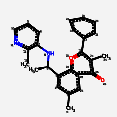 Cc1cc([C@@H](C)Nc2cccnc2C)c2oc(-c3ccccc3)c(C)c(=O)c2c1